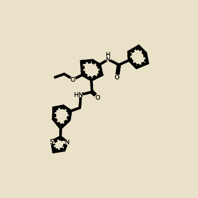 CCOc1ccc(NC(=O)c2ccccc2)cc1C(=O)NCc1cccc(-c2nccs2)c1